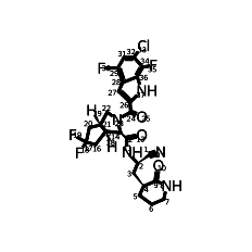 N#C[C@@H](C[C@@H]1CCCNC1=O)NC(=O)[C@H]1[C@@H]2CC(F)(F)C[C@@H]2CN1C(=O)c1cc2c(F)cc(Cl)c(F)c2[nH]1